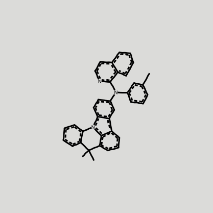 Cc1cccc(N(c2ccc3c(c2)c2cccc4c2n3-c2ccccc2C4(C)C)c2nccc3ccccc23)c1